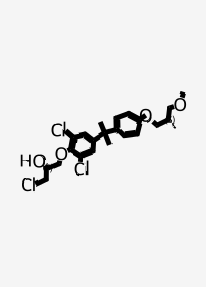 COC[C@H](C)COc1ccc(C(C)(C)c2cc(Cl)c(OC[C@H](O)CCl)c(Cl)c2)cc1